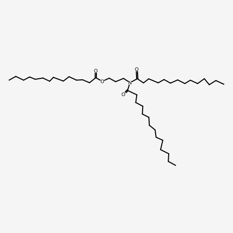 CCCCCCCCCCCCCC(=O)OCCCN(C(=O)CCCCCCCCCCCCC)C(=O)CCCCCCCCCCCCC